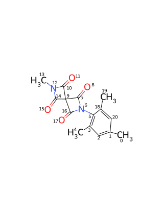 Cc1cc(C)c(N2C(=O)C3(C(=O)N(C)C3=O)C2=O)c(C)c1